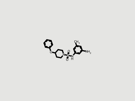 Cc1cc(N)cc(NS(=O)(=O)N2CCC(Oc3ccccc3)CC2)c1